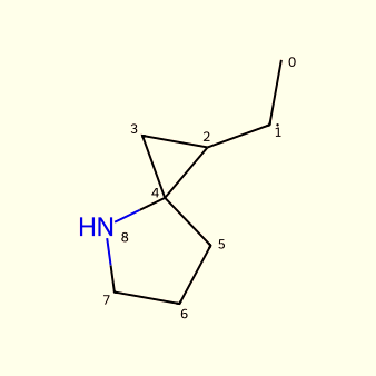 C[CH]C1CC12CCCN2